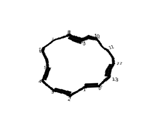 [C]1=C/C=C\C=C\CC/C=C/CC\C=C/1